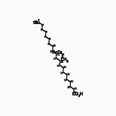 C=COC(C)=O.CC(C)(C)CCCCCCCCCCCCCCCCCCCC(=O)O